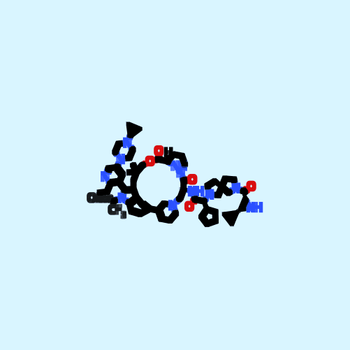 CO[C@@H](C)c1ncc(N2CCN(C3CC3)CC2)cc1-c1c2c3cc(ccc3n1CC(F)(F)F)C1=CCCN(C1)C[C@H](NC(=O)[C@H](C1CCCC1)N1CC[C@]3(CCN(C(=O)[C@@H]4N[C@@H]4C4CC4)C3)C1)C(=O)N1CCC[C@H](N1)C(=O)OCC(C)(C)C2